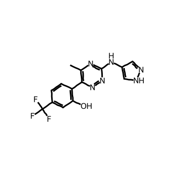 Cc1nc(Nc2cn[nH]c2)nnc1-c1ccc(C(F)(F)F)cc1O